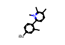 CCC(C)c1ccc(-c2ccc(C)c(C)[n+]2C)c(C)c1